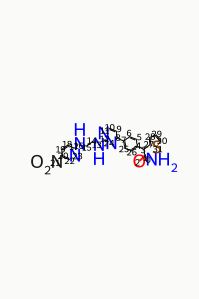 NC(=O)C(c1ccc(-c2ccnc(NCCNc3ccc([N+](=O)[O-])cn3)n2)cc1)c1cccs1